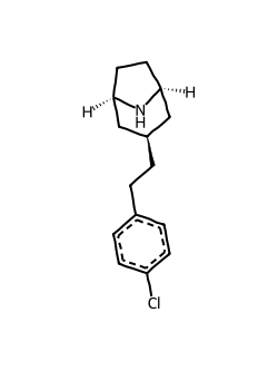 Clc1ccc(CC[C@H]2C[C@H]3CC[C@@H](C2)N3)cc1